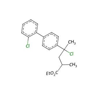 CCOC(=O)C(C)CC(C)(Cl)c1ccc(-c2ccccc2Cl)cc1